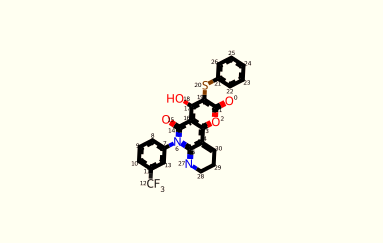 O=c1oc2c3c(n(-c4cccc(C(F)(F)F)c4)c(=O)c2c(O)c1Sc1ccccc1)=NCCC=3